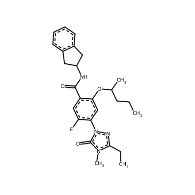 CCCC(C)Oc1cc(-n2nc(CC)n(C)c2=O)c(F)cc1C(=O)NC1Cc2ccccc2C1